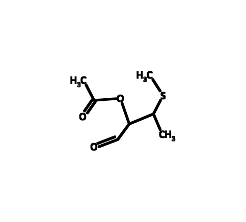 CSC(C)C(C=O)OC(C)=O